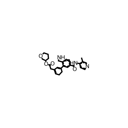 Cc1cnccc1NC(=O)c1ccc(CN)c(C2=CC(CC(=O)OC3CCCOC3)=CCC2)c1